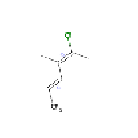 C/C(Cl)=C(C)\C=C\C(F)(F)F